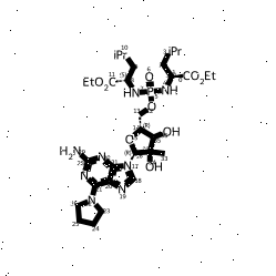 CCOC(=O)[C@H](CC(C)C)NP(=O)(N[C@@H](CC(C)C)C(=O)OCC)OC[C@H]1O[C@@H](n2cnc3c(N4CCCC4)nc(N)nc32)C(C)(O)C1O